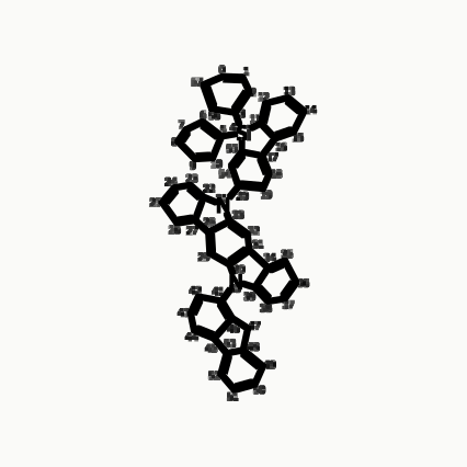 c1ccc([Si]2(c3ccccc3)c3ccccc3-c3ccc(-n4c5ccccc5c5cc6c(cc54)c4ccccc4n6-c4cccc5c4Cc4ccccc4-5)cc32)cc1